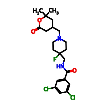 CC1(C)CC(CN2CCC(F)(CNC(=O)c3cc(Cl)cc(Cl)c3)CC2)CC(=O)O1